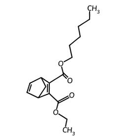 CCCCCCOC(=O)C1=C(C(=O)OCC)C2C=CC1C2